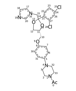 CC(=O)N1CCN(c2ccc(OC[C@@H]3COC(Cn4ccnc4)(c4ccc(Cl)cc4Cl)O3)cc2)CC1